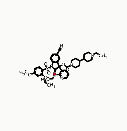 CCOc1cc(OC)ccc1S(=O)(=O)N1C(=O)C(OC(=O)N2CCC(C3CCN(CC)CC3)CC2)(c2cccnc2OCC)c2cc(C#N)ccc21